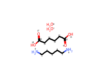 NCCCCCN.O.O.O=C(O)CCCCC(=O)O